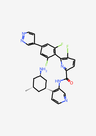 C[C@@H]1C[C@@H](N)C[C@H](c2ccncc2NC(=O)c2ccc(F)c(-c3c(F)cc(-c4ccnnc4)cc3F)n2)C1